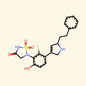 O=C1CN(c2c(O)ccc(C3=CC(CCc4ccccc4)NC3)c2F)S(=O)(=O)N1